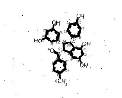 Cc1ccc(C(=O)[C@H]2c3cc(O)cc(O)c3[C@@H](c3ccc(O)cc3)[C@H]2c2cc(O)cc(O)c2)cc1